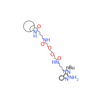 CCCCc1nc2c(N)nc3ccccc3c2n1CCCCNC(=O)CCOCCOCCC(=O)NCCCCC1NC2C3CCCCCCCCCC(CC3)C2C1=O